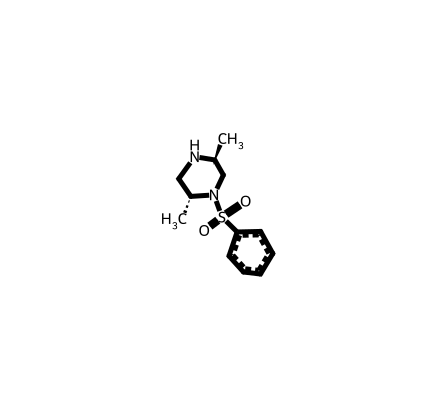 C[C@@H]1CN[C@@H](C)CN1S(=O)(=O)c1ccccc1